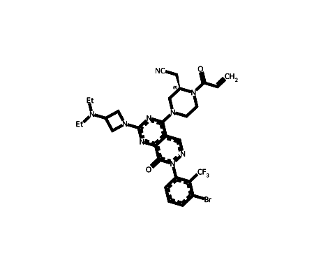 C=CC(=O)N1CCN(c2nc(N3CC(N(CC)CC)C3)nc3c(=O)n(-c4cccc(Br)c4C(F)(F)F)ncc23)C[C@H]1CC#N